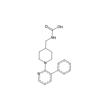 O=C(O)NCC1CCN(c2ncccc2-c2ccccc2)CC1